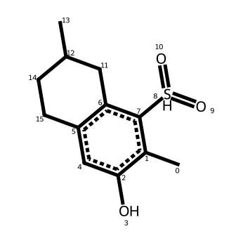 Cc1c(O)cc2c(c1[SH](=O)=O)CC(C)CC2